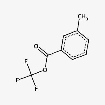 Cc1cccc(C(=O)OC(F)(F)F)c1